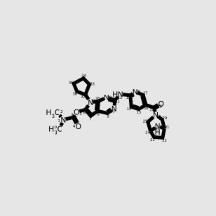 CN(C)C(=O)Oc1cc2cnc(Nc3ccc(C(=O)N4CC5CCC(C4)N5)cn3)nc2n1C1CCCC1